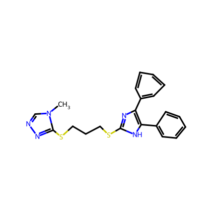 Cn1cnnc1SCCCSc1nc(-c2ccccc2)c(-c2ccccc2)[nH]1